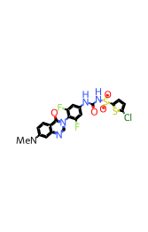 CNc1ccc2c(=O)n(-c3c(F)cc(NC(=O)NS(=O)(=O)c4ccc(Cl)s4)cc3F)cnc2c1